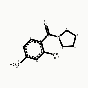 O=C(O)c1ccc(C(=O)N2CCCC2)c(C(F)(F)F)c1